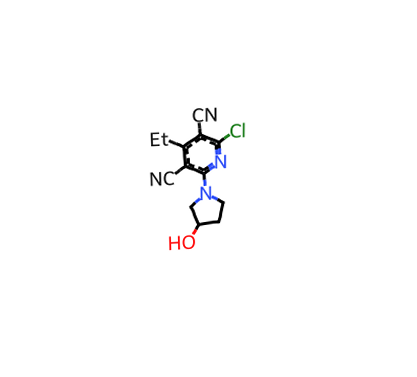 CCc1c(C#N)c(Cl)nc(N2CCC(O)C2)c1C#N